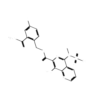 CCS(=O)(=O)N(C)c1nc(C(=O)NCc2ccc(F)cc2C(=O)NC)c(O)c2ncccc12